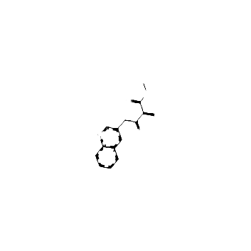 C=C(C(=O)Cc1cnc2ccccc2c1)C(=O)OC